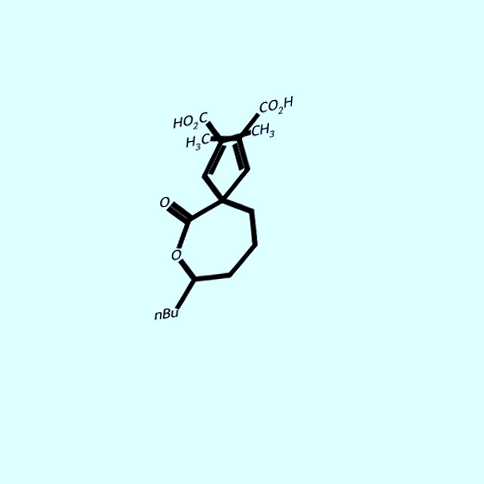 CCCCC1CCCC(C=C(C)C(=O)O)(C=C(C)C(=O)O)C(=O)O1